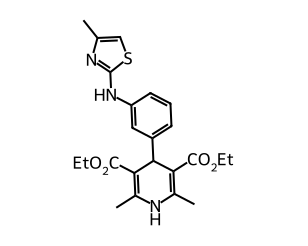 CCOC(=O)C1=C(C)NC(C)=C(C(=O)OCC)C1c1cccc(Nc2nc(C)cs2)c1